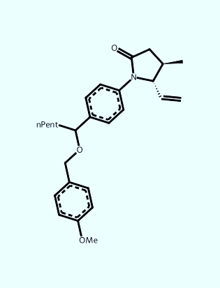 C=C[C@H]1[C@H](C)CC(=O)N1c1ccc(C(CCCCC)OCc2ccc(OC)cc2)cc1